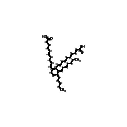 CCCCCCCC1C(CCCCC)CCC(CCCCCCCCCC(=O)O)C1CCCCCCCCCC(=O)O